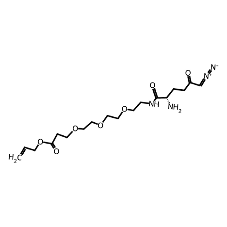 C=CCOC(=O)CCOCCOCCOCCNC(=O)[C@@H](N)CCC(=O)C=[N+]=[N-]